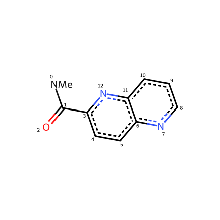 CNC(=O)c1ccc2ncccc2n1